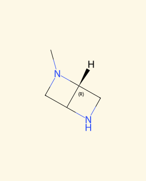 CN1CC2NC[C@H]21